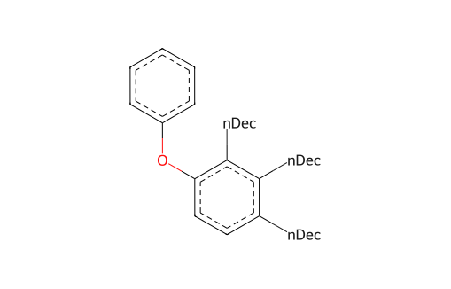 CCCCCCCCCCc1ccc(Oc2ccccc2)c(CCCCCCCCCC)c1CCCCCCCCCC